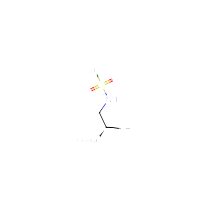 CCCCC[C@H](C)CNS(=O)(=O)CC